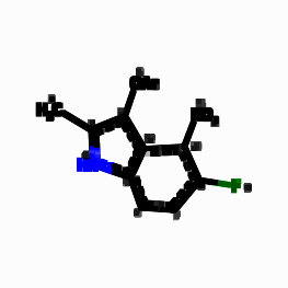 CC(=O)Oc1c(C)[nH]c2ccc(F)c([N+](=O)[O-])c12